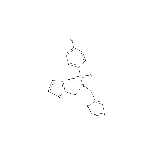 Cc1ccc(S(=O)(=O)N(Cc2cccs2)Cc2cccs2)cc1